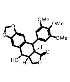 COc1cc(C2c3cc4c(cc3[C@H](O)[C@H]3COC(=O)[C@H]23)OCO4)cc(OC)c1OC